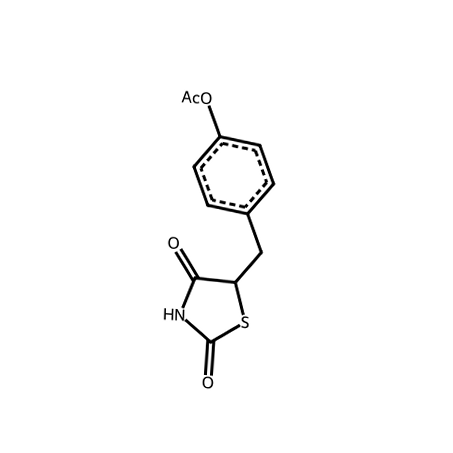 CC(=O)Oc1ccc(CC2SC(=O)NC2=O)cc1